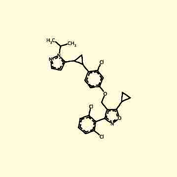 CC(C)n1nccc1C1CC1c1ccc(OCc2c(-c3c(Cl)cccc3Cl)noc2C2CC2)cc1Cl